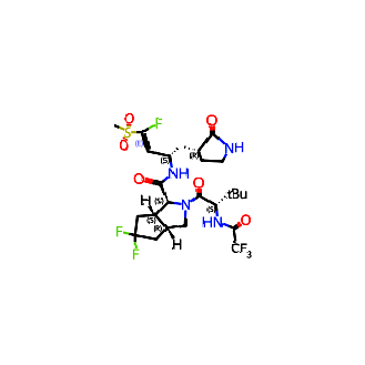 CC(C)(C)[C@H](NC(=O)C(F)(F)F)C(=O)N1C[C@@H]2CC(F)(F)C[C@@H]2[C@H]1C(=O)N[C@H](/C=C(\F)S(C)(=O)=O)C[C@H]1CCNC1=O